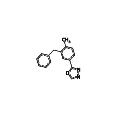 Cc1ccc(-c2nnco2)cc1Cc1ccccc1